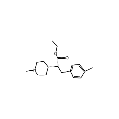 CCOC(=O)C(Cc1ccc(C)cc1)C1CCN(C)CC1